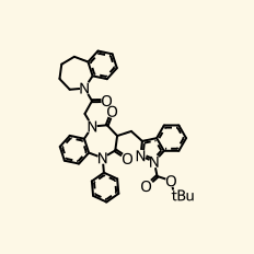 CC(C)(C)OC(=O)n1nc(CC2C(=O)N(CC(=O)N3CCCCc4ccccc43)c3ccccc3N(c3ccccc3)C2=O)c2ccccc21